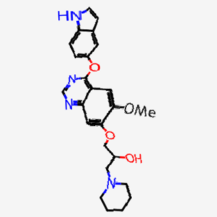 COc1cc2c(Oc3ccc4[nH]ccc4c3)ncnc2cc1OCC(O)CN1CCCCC1